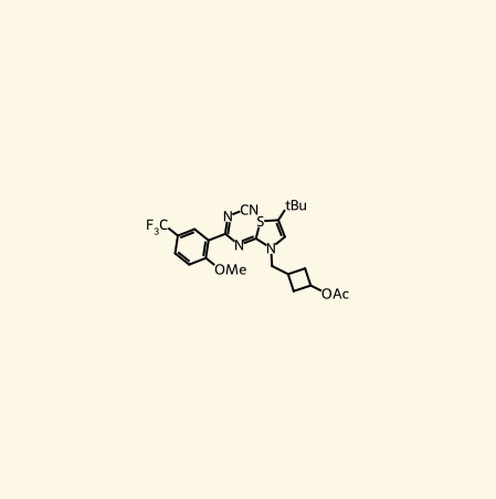 COc1ccc(C(F)(F)F)cc1C(=NC#N)/N=c1\sc(C(C)(C)C)cn1CC1CC(OC(C)=O)C1